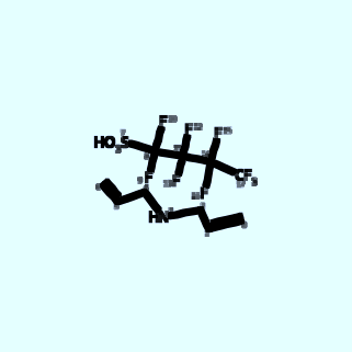 C=CCNCC=C.O=S(=O)(O)C(F)(F)C(F)(F)C(F)(F)C(F)(F)F